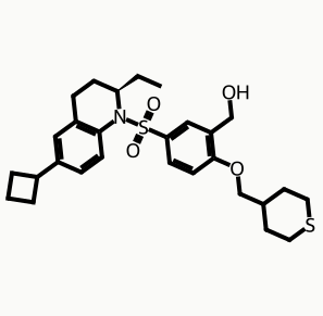 CC[C@@H]1CCc2cc(C3CCC3)ccc2N1S(=O)(=O)c1ccc(OCC2CCSCC2)c(CO)c1